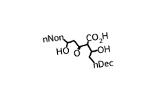 CCCCCCCCCCCC(O)C(C(=O)O)C(=O)CC(O)CCCCCCCCC